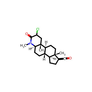 CN1C(=O)C(Cl)C[C@]2(C)[C@H]3CC[C@]4(C)C(=C=O)CC[C@H]4[C@@H]3CC[C@@H]12